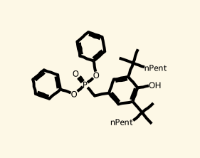 CCCCCC(C)(C)c1cc(CP(=O)(Oc2ccccc2)Oc2ccccc2)cc(C(C)(C)CCCCC)c1O